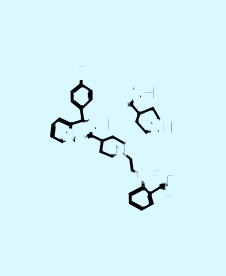 NC(=O)C1CCNCC1.O=C(NC(c1ccc(F)cc1)c1ccccn1)C1CCN(CCOc2ccccc2C(F)(F)F)CC1